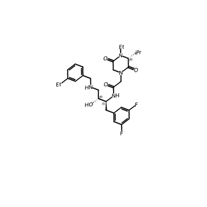 CCc1cccc(CNC[C@@H](O)[C@H](Cc2cc(F)cc(F)c2)NC(=O)CN2CC(=O)N(CC)[C@H](C(C)C)C2=O)c1